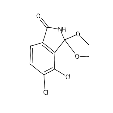 COC1(OC)NC(=O)c2ccc(Cl)c(Cl)c21